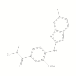 CCN(C)C(=O)c1ccc(Nc2nc3ccc(C)cn3n2)c(OC)c1